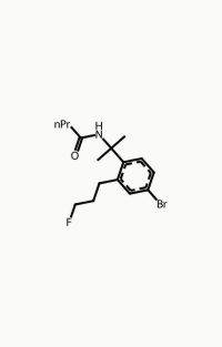 CCCC(=O)NC(C)(C)c1ccc(Br)cc1CCCF